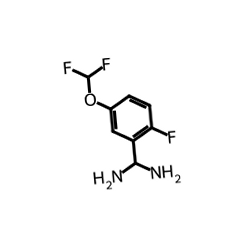 NC(N)c1cc(OC(F)F)ccc1F